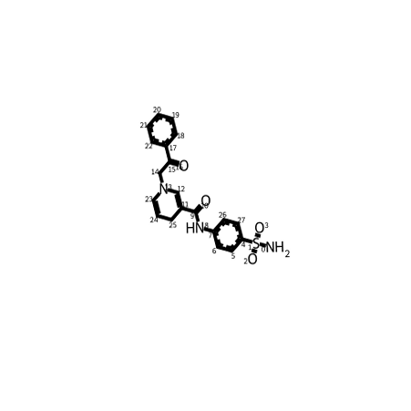 NS(=O)(=O)c1ccc(NC(=O)C2=CN(CC(=O)c3ccccc3)C=CC2)cc1